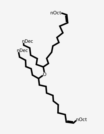 CCCCCCCC/C=C\CCCCCCCCC(CCCCCCCCCCCCCCC)OC(CCCCCCCC/C=C\CCCCCCCC)CCCCCCCCCCCCCCC